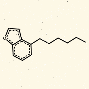 CCCCCCc1cccc2oc[c]c12